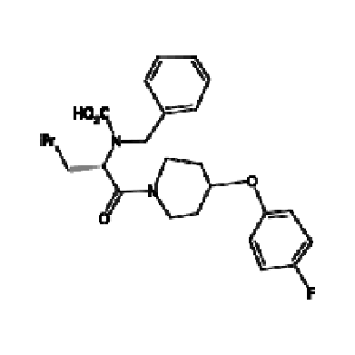 CC(C)C[C@@H](C(=O)N1CCC(Oc2ccc(F)cc2)CC1)N(Cc1ccccc1)C(=O)O